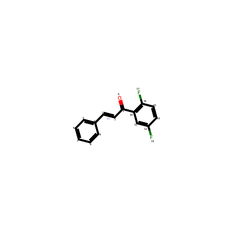 O=C(/C=C/c1ccccc1)c1cc(F)ccc1F